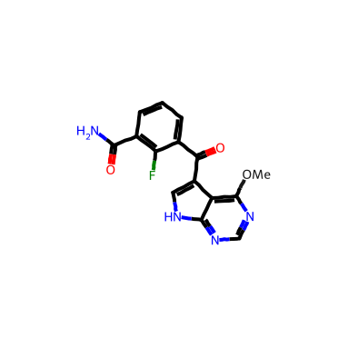 COc1ncnc2[nH]cc(C(=O)c3cccc(C(N)=O)c3F)c12